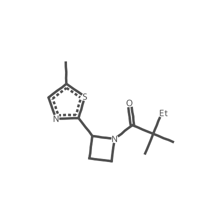 CCC(C)(C)C(=O)N1CCC1c1ncc(C)s1